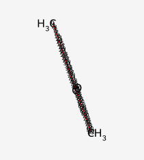 CCCCCCCCCCCCCCCCCCCCCCCCCCCCCCCCCCCCCCCCCCCCCCCCCC(=O)OCCCCCCCCCCCCCCCCCCCCCCCCCCCCCCCC